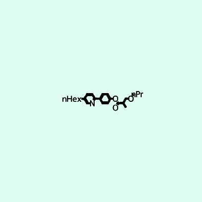 CCCCCCc1ccc(-c2ccc(OC(=O)C(C)COCCC)cc2)nc1